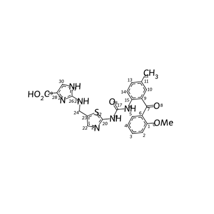 COc1ccccc1C(=O)c1cc(C)ccc1NC(=O)Nc1ncc(CNc2nc(C(=O)O)c[nH]2)s1